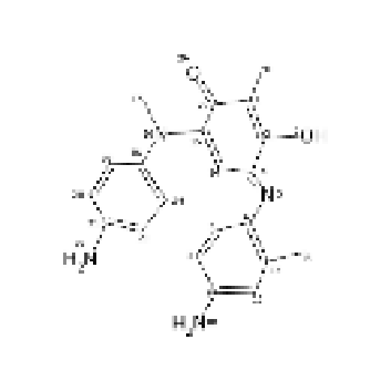 CC1=C(O)C(=Nc2ccc(N)cc2C)C=C(N(C)c2ccc(N)cc2)C1=O